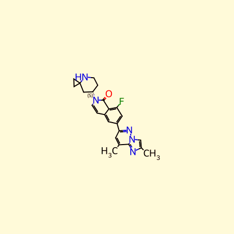 Cc1cn2nc(-c3cc(F)c4c(=O)n([C@H]5CCNC6(CC6)C5)ccc4c3)cc(C)c2n1